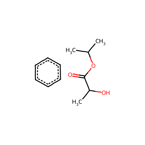 CC(C)OC(=O)C(C)O.c1ccccc1